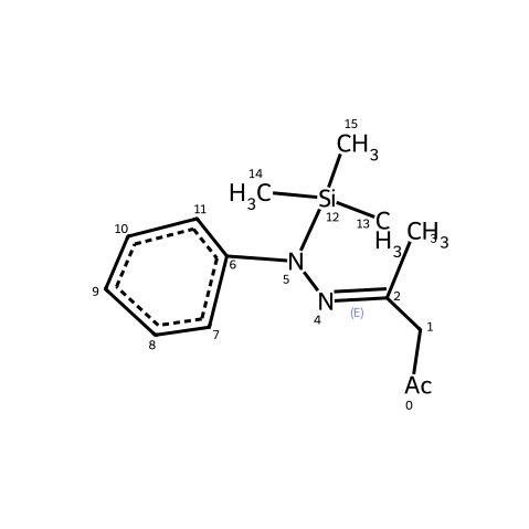 CC(=O)C/C(C)=N/N(c1ccccc1)[Si](C)(C)C